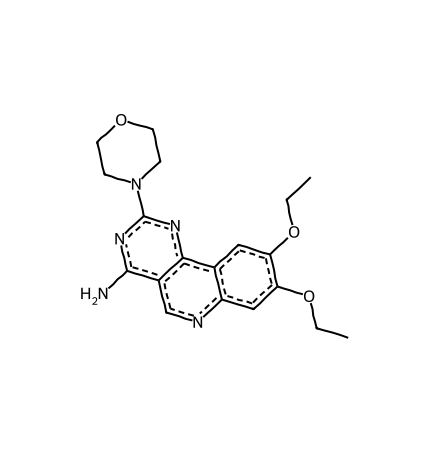 CCOc1cc2ncc3c(N)nc(N4CCOCC4)nc3c2cc1OCC